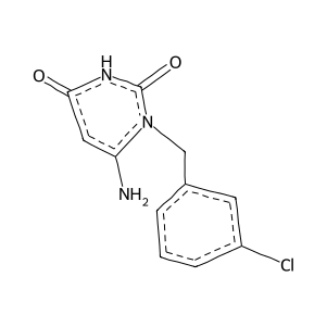 Nc1cc(=O)[nH]c(=O)n1Cc1cccc(Cl)c1